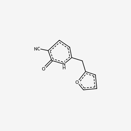 N#Cc1ccc(Cc2ccco2)[nH]c1=O